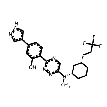 CN(c1cnc(-c2ccc(-c3cn[nH]c3)cc2O)nn1)[C@H]1CCC[C@@H](CCC(F)(F)F)C1